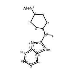 CNC1CCC(N(C)c2nc3nnccc3s2)CC1